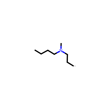 [CH]CCN(C)CCCC